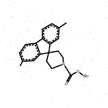 Cc1ccc2c(c1)C1(CCN(C(=O)OC(C)(C)C)CC1)c1cc(C)ccc1-2